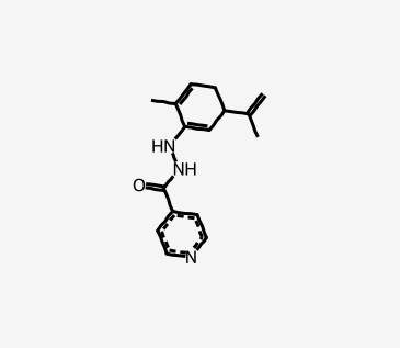 C=C(C)C1C=C(NNC(=O)c2ccncc2)C(C)=CC1